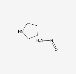 C1CCNC1.NN=O